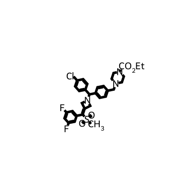 CCOC(=O)N1CCN(Cc2ccc(C(c3ccc(Cl)cc3)N3CC(=C(c4cc(F)cc(F)c4)S(C)(=O)=O)C3)cc2)CC1